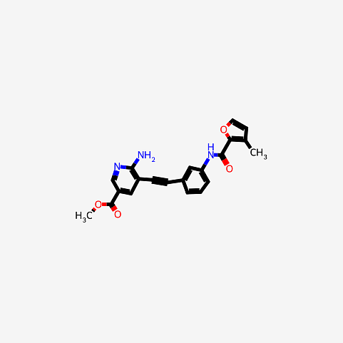 COC(=O)c1cnc(N)c(C#Cc2cccc(NC(=O)c3occc3C)c2)c1